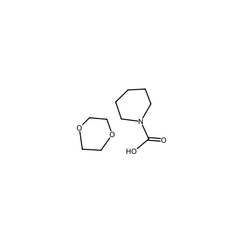 C1COCCO1.O=C(O)N1CCCCC1